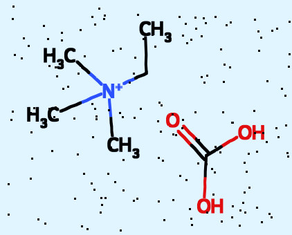 CC[N+](C)(C)C.O=C(O)O